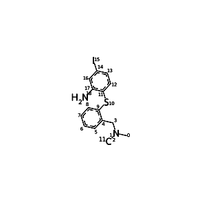 CN([11CH3])Cc1ccccc1Sc1ccc(I)cc1N